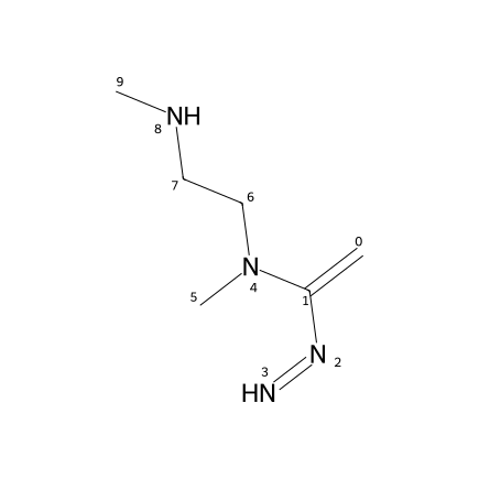 C=C(N=N)N(C)CCNC